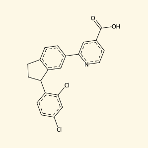 O=C(O)c1ccnc(-c2ccc3c(c2)C(c2ccc(Cl)cc2Cl)CC3)c1